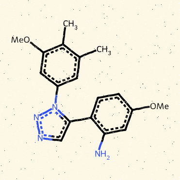 COc1ccc(-c2cnnn2-c2cc(C)c(C)c(OC)c2)c(N)c1